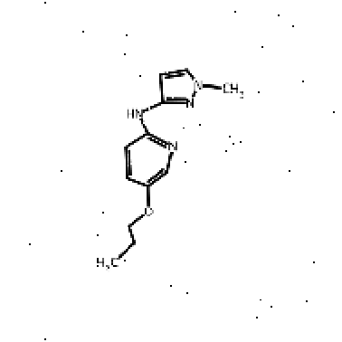 CCCOc1ccc(Nc2ccn(C)n2)nc1